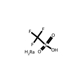 O=S(=O)(O)C(F)(F)F.[RaH2]